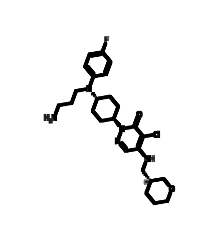 NCCCN(c1ccc(F)cc1)[C@H]1CC[C@H](n2ncc(NC[C@H]3CCCOC3)c(Cl)c2=O)CC1